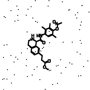 COC(=O)CCc1ccc2c(c1)C(C(=O)Nc1cc(C)c(OC(C)=O)c(C)c1C)NCC2